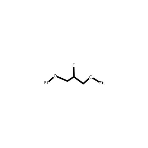 CCOCC(F)COCC